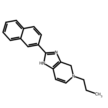 CCCN1C=Cc2[nH]c(-c3ccc4ccccc4c3)nc2C1